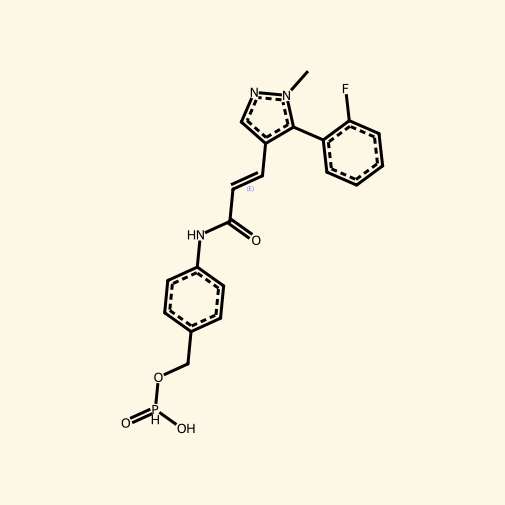 Cn1ncc(/C=C/C(=O)Nc2ccc(CO[PH](=O)O)cc2)c1-c1ccccc1F